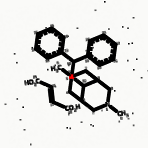 CN1CC2CN(C)CC(C1)C2OC(c1ccccc1)c1ccccc1.O=C(O)C=CC(=O)O